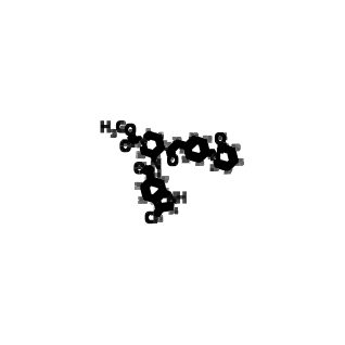 COC(=O)N1CC[C@H](C(=O)Cc2ccc(-n3ccccc3=O)cc2)[C@@H](NC(=O)c2ccc3c(Cl)c[nH]c3c2)C1